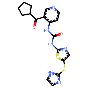 O=C(Nc1ncc(Sc2ncc[nH]2)s1)Nc1ccncc1C(=O)C1CCCC1